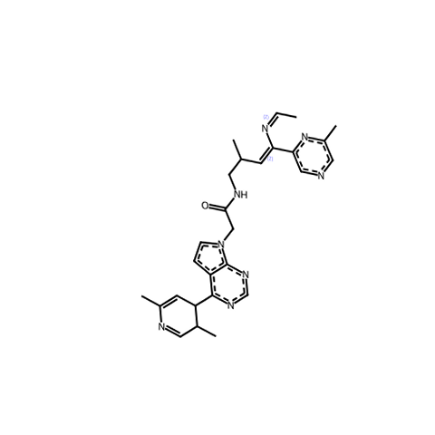 C/C=N\C(=C/C(C)CNC(=O)Cn1ccc2c(C3C=C(C)N=CC3C)ncnc21)c1cncc(C)n1